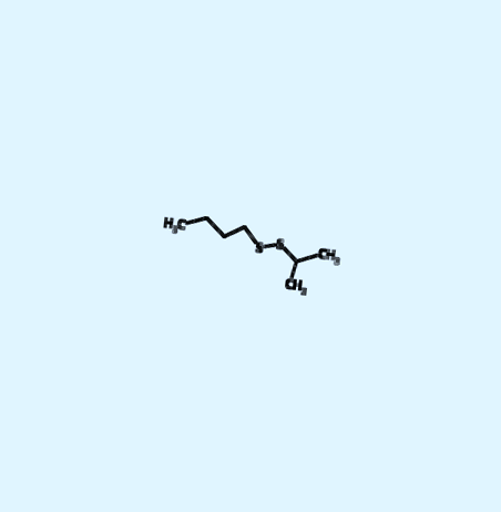 CCCCSSC(C)C